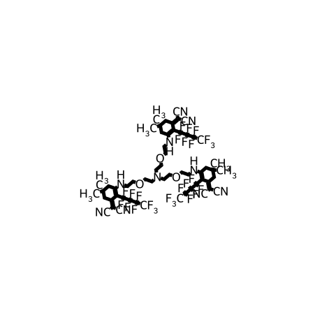 CC1(C)CC(NCCOCCN(CCOCCNC2=C(C(F)(F)C(F)(F)C(F)(F)C(F)(F)F)C(=C(C#N)C#N)CC(C)(C)C2)CCOCCNC2=C(C(F)(F)C(F)(F)C(F)(F)C(F)(F)F)C(=C(C#N)C#N)CC(C)(C)C2)=C(C(F)(F)C(F)(F)C(F)(F)C(F)(F)F)C(=C(C#N)C#N)C1